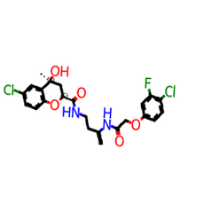 C=C(CCNC(=O)[C@@H]1C[C@](C)(O)c2cc(Cl)ccc2O1)NC(=O)COc1ccc(Cl)c(F)c1